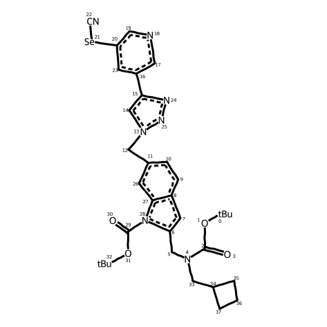 CC(C)(C)OC(=O)N(Cc1cc2ccc(Cn3cc(-c4cncc([Se]C#N)c4)nn3)cc2n1C(=O)OC(C)(C)C)CC1CCC1